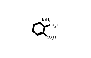 O=C(O)C1=CCCCC1C(=O)O.[BaH2]